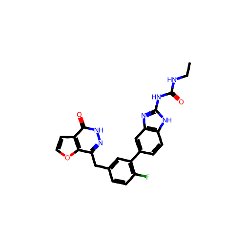 CCNC(=O)Nc1nc2cc(-c3cc(Cc4n[nH]c(=O)c5ccoc45)ccc3F)ccc2[nH]1